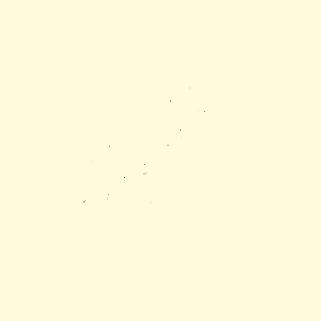 OC(F)(F)C(F)(F)C(F)(F)C(F)(F)C(F)(F)C(F)(F)C(F)(F)CF